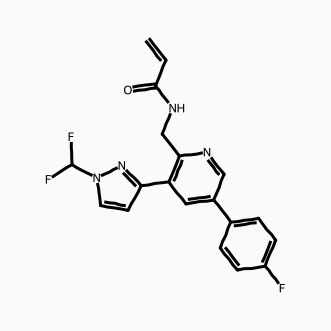 C=CC(=O)NCc1ncc(-c2ccc(F)cc2)cc1-c1ccn(C(F)F)n1